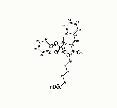 CCCCCCCCCCCCCCCOC(=O)[C@H](Cc1ccccc1)NP(=O)(Cl)Oc1ccccc1